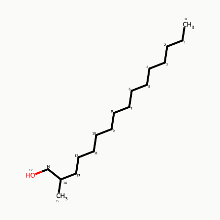 CCCCCCCCCCCCCCC(C)CO